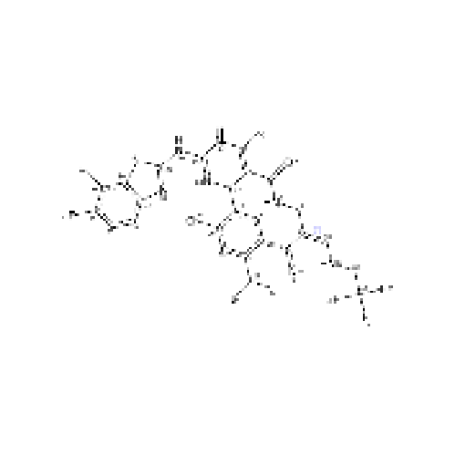 CC1=C(C(=O)NC/C(C=N)=C/NCC(F)(F)F)C(c2ccc(C(C)C)cc2Cl)N=C(NC2=Nc3ccc(F)c(C)c3C2)N1